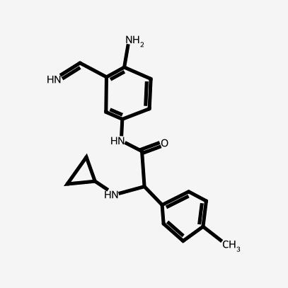 Cc1ccc(C(NC2CC2)C(=O)Nc2ccc(N)c(C=N)c2)cc1